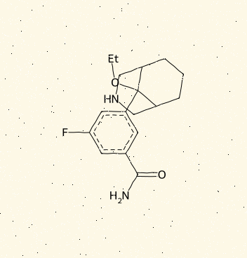 CCOC1(c2cc(F)cc(C(N)=O)c2)C2CCCC1CNC2